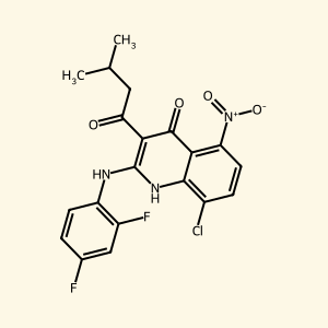 CC(C)CC(=O)c1c(Nc2ccc(F)cc2F)[nH]c2c(Cl)ccc([N+](=O)[O-])c2c1=O